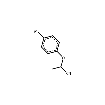 CC(C#N)Oc1ccc(C(C)C)cc1